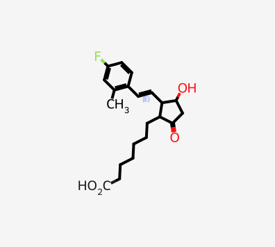 Cc1cc(F)ccc1/C=C/C1C(O)CC(=O)C1CCCCCCC(=O)O